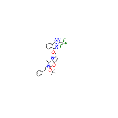 C[C@@H](c1cccc(COc2nn3c(C(F)(F)F)nnc3c3ccccc23)n1)N(CCc1ccccc1)C(=O)OC(C)(C)C